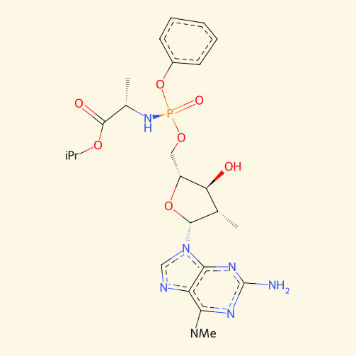 CNc1nc(N)nc2c1ncn2[C@@H]1O[C@H](CO[P@](=O)(N[C@@H](C)C(=O)OC(C)C)Oc2ccccc2)[C@@H](O)[C@@H]1C